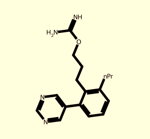 CCCc1cccc(-c2cncnc2)c1CCCOC(=N)N